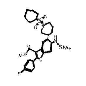 CNC(=O)c1c(-c2ccc(F)cc2)oc2cc(NSC)c([C@H]3CCCN(S(=O)(=O)C4CCCCC4)C3)cc12